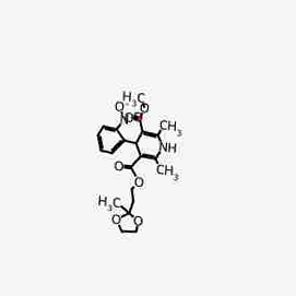 COC(=O)C1=C(C)NC(C)=C(C(=O)OCCC2(C)OCCO2)C1c1ccccc1[N+](=O)[O-]